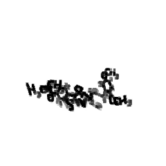 COc1ccc(OC)c(CCn2cnc3sc4c(c3c2=O)CCC(C(=O)N(C)C)C4)c1